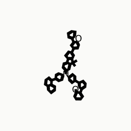 CC1(C)c2cc(-c3ccc4oc5ccccc5c4c3)ccc2-c2ccc(N(c3ccc(-c4cccc5ccccc45)cc3)c3ccc(-c4cccc5c4oc4ccccc45)cc3)cc21